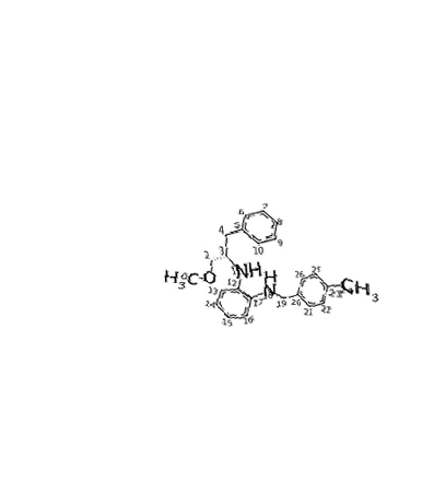 COC[C@H](Cc1ccccc1)Nc1ccccc1NCc1ccc(C)cc1